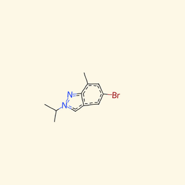 Cc1cc(Br)cc2cn(C(C)C)nc12